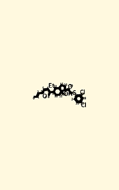 C/C=C/C(=O)/C=C\C(C)C1CCC2(C)C(CC[C@]2(O)C(=O)CSc2ccc(Cl)cc2Cl)C1CC